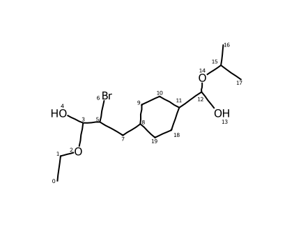 CCOC(O)C(Br)CC1CCC(C(O)OC(C)C)CC1